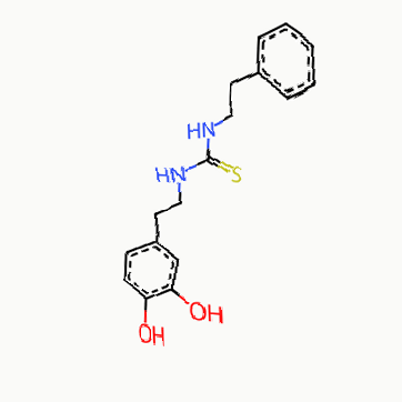 Oc1ccc(CCNC(=S)NCCc2ccccc2)cc1O